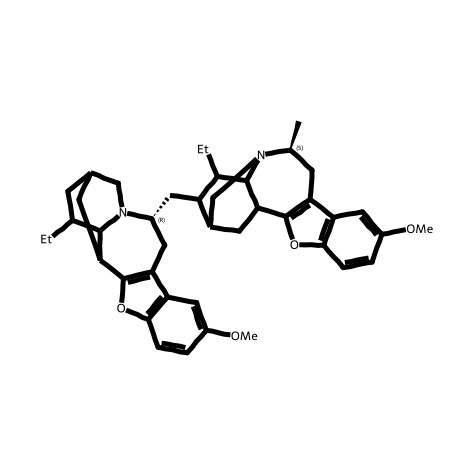 CCC1CC2CC3c4oc5ccc(OC)cc5c4C[C@@H](CC4C5CC6c7oc8ccc(OC)cc8c7C[C@H](C)N(C5)C6C4CC)N(C2)C13